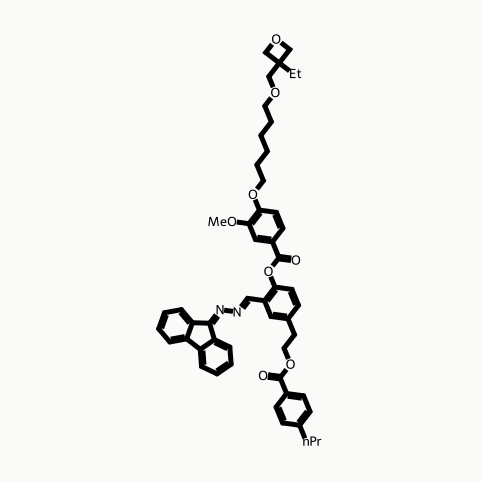 CCCc1ccc(C(=O)OCCc2ccc(OC(=O)c3ccc(OCCCCCCOCC4(CC)COC4)c(OC)c3)c(/C=N/N=C3c4ccccc4-c4ccccc43)c2)cc1